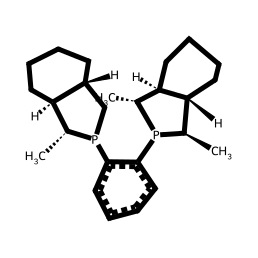 C[C@@H]1[C@H]2CCCC[C@@H]2CP1c1ccccc1P1[C@H](C)[C@H]2CCCC[C@@H]2[C@H]1C